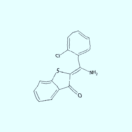 N/C(=C1/Sc2ccccc2C1=O)c1ccccc1Cl